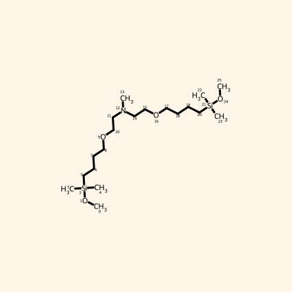 CO[Si](C)(C)CCCCOCCN(C)CCOCCCC[Si](C)(C)OC